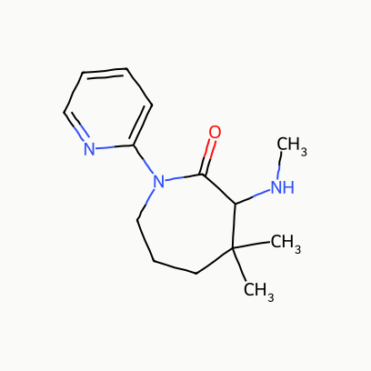 CNC1C(=O)N(c2ccccn2)CCCC1(C)C